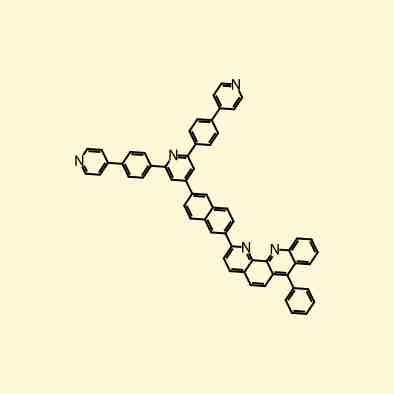 c1ccc(-c2c3ccccc3nc3c2ccc2ccc(-c4ccc5cc(-c6cc(-c7ccc(-c8ccncc8)cc7)nc(-c7ccc(-c8ccncc8)cc7)c6)ccc5c4)nc23)cc1